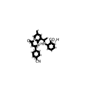 Cc1cc(C(C)Nc2ccccc2C(=O)O)c2nc(-c3ccc(C#N)cc3)cc(=O)n2c1